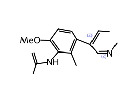 C=C(C)Nc1c(OC)ccc(C(/C=N\C)=C/C)c1C